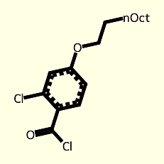 CCCCCCCCCCOc1ccc(C(=O)Cl)c(Cl)c1